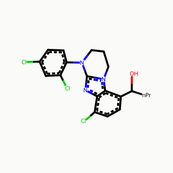 CCCC(O)c1ccc(Cl)c2nc3n(c12)CCCN3c1ccc(Cl)cc1Cl